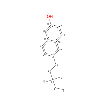 CCC(C)(C)CCc1ccc2cc(O)ccc2c1